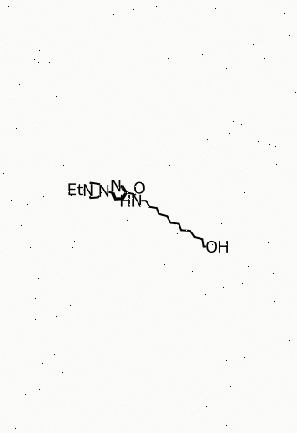 CCN1CCN(c2ccc(C(=O)NCCCCCCCCCCCCO)cn2)CC1